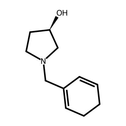 O[C@@H]1CCN(CC2=CCCC=C2)C1